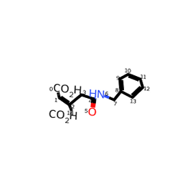 O=C(O)/C=C(\CC(=O)NCc1ccccc1)C(=O)O